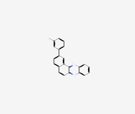 Clc1cccc(-c2ccc3ccc4nc5ccccc5nc4c3c2)c1